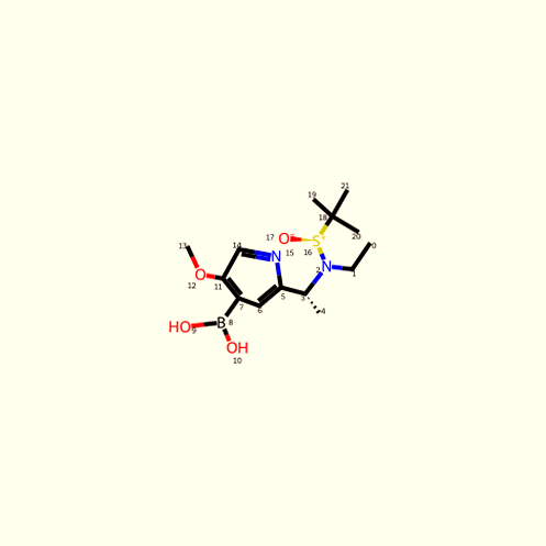 CCN([C@H](C)c1cc(B(O)O)c(OC)cn1)[S@@+]([O-])C(C)(C)C